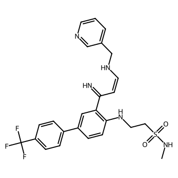 CNS(=O)(=O)CCNc1ccc(-c2ccc(C(F)(F)F)cc2)cc1C(=N)/C=C\NCc1cccnc1